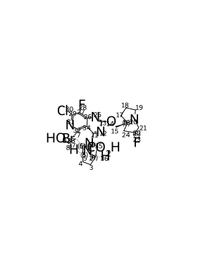 O=C(O)N1[C@@H]2CC[C@H]1[C@H](CCO)N(c1nc(OC[C@@]34CCCN3C[C@H](F)C4)nc3c(F)c(Cl)nc(Br)c13)C2